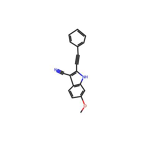 COc1ccc2c(C#N)c(C#Cc3ccccc3)[nH]c2c1